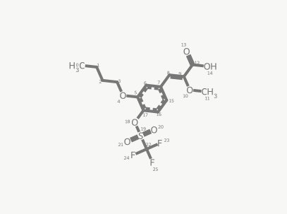 CCCCOc1cc(/C=C(\OC)C(=O)O)ccc1OS(=O)(=O)C(F)(F)F